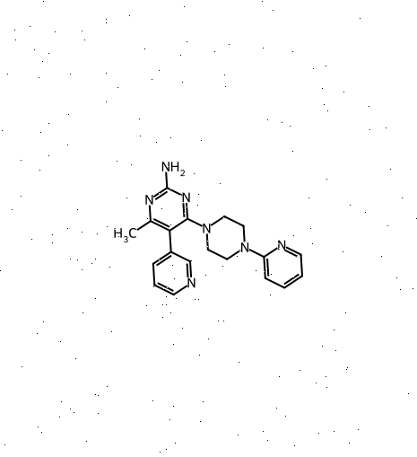 Cc1nc(N)nc(N2CCN(c3ccccn3)CC2)c1-c1cccnc1